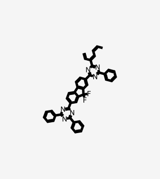 C=C/C(=C\C=C/C)c1nc(-c2ccccc2)nc(-c2ccc3c(c2)C(F)(F)c2cc(-c4nc(-c5ccccc5)nc(-c5ccccc5)n4)ccc2-3)n1